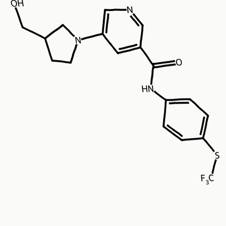 O=C(Nc1ccc(SC(F)(F)F)cc1)c1cncc(N2CCC(CO)C2)c1